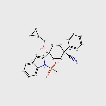 CS(=O)(=O)n1c2ccccc2cc1[C@]1(OCC2CC2)CC[C@@](C#N)(c2ccccc2)CC1